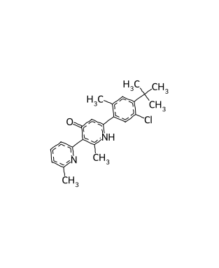 Cc1cccc(-c2c(C)[nH]c(-c3cc(Cl)c(C(C)(C)C)cc3C)cc2=O)n1